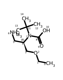 CCOC[C@@H](CN)N(C(=O)O)C(C)(C)C